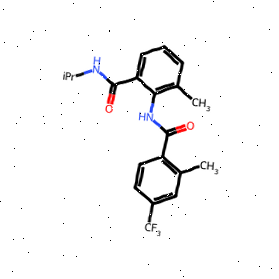 Cc1cc(C(F)(F)F)ccc1C(=O)Nc1c(C)cccc1C(=O)NC(C)C